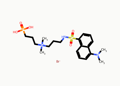 CN(C)c1cccc2c(S(=O)(=O)NCCC[N+](C)(C)CCCP(=O)(O)O)cccc12.[Br-]